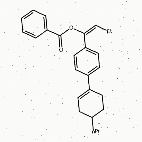 CCC=C(OC(=O)c1ccccc1)c1ccc(C2=CCC(CCC)CC2)cc1